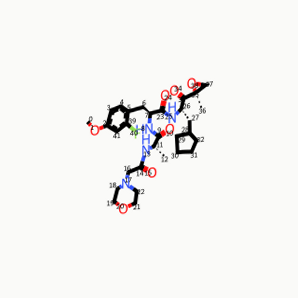 COc1ccc(C[C@H](NC(=O)[C@H](C)NC(=O)CN2CCOCC2)C(=O)N[C@@H](CC2CCCC2)C(=O)[C@]2(C)CO2)c(F)c1